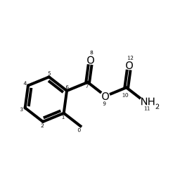 Cc1ccccc1C(=O)OC(N)=O